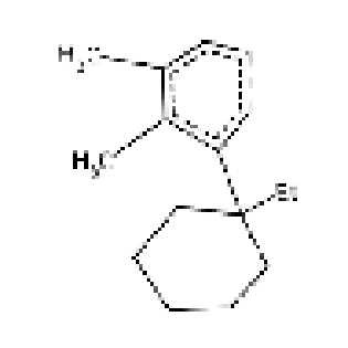 CCC1(c2cccc(C)c2C)CCCCC1